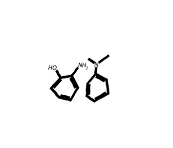 CN(C)c1ccccc1.Nc1ccccc1O